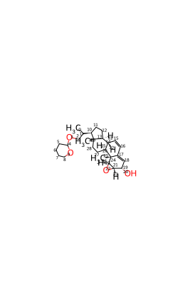 CC(COC1CCCCO1)[C@H]1CC[C@H]2[C@@H]3C=CC4=C[C@H](O)[C@@H]5O[C@@H]5[C@]4(C)[C@H]3CC[C@]12C